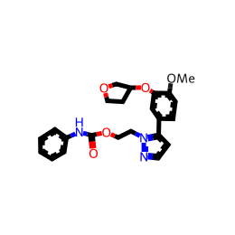 COc1ccc(-c2ccnn2CCOC(=O)Nc2ccccc2)cc1OC1CCOC1